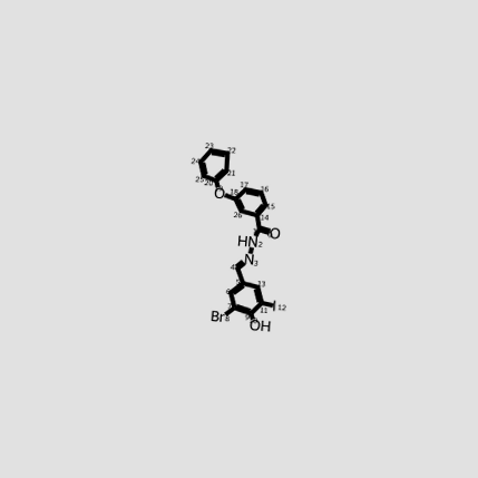 O=C(N/N=C/c1cc(Br)c(O)c(I)c1)c1cccc(Oc2ccccc2)c1